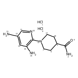 Cl.Cl.NC(=O)C1CCN(c2ncc(N)cc2N)CC1